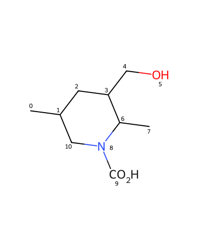 CC1CC(CO)C(C)N(C(=O)O)C1